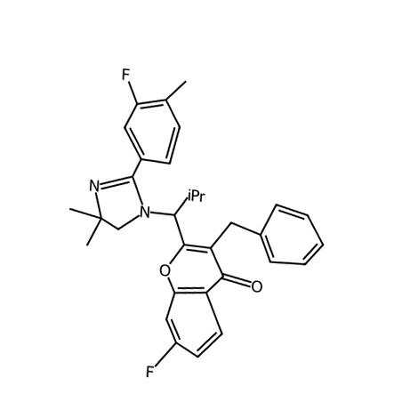 Cc1ccc(C2=NC(C)(C)CN2C(c2oc3cc(F)ccc3c(=O)c2Cc2ccccc2)C(C)C)cc1F